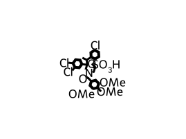 COc1cc(C(=O)N2CCOC(c3ccc(Cl)c(Cl)c3)(C(C)c3cc(Cl)ccc3S(=O)(=O)O)C2)cc(OC)c1OC